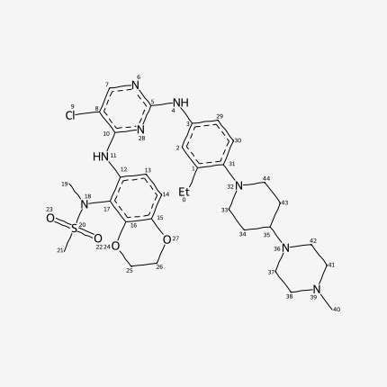 CCc1cc(Nc2ncc(Cl)c(Nc3ccc4c(c3N(C)S(C)(=O)=O)OCCO4)n2)ccc1N1CCC(N2CCN(C)CC2)CC1